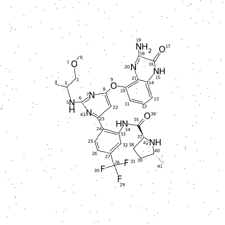 COCC(C)Nc1nc(Oc2cccc3[nH]c(=O)c(N)nc23)cc(-c2ccc(C(F)(F)F)cc2NC(=O)[C@@H]2CC[C@@H](C)N2)n1